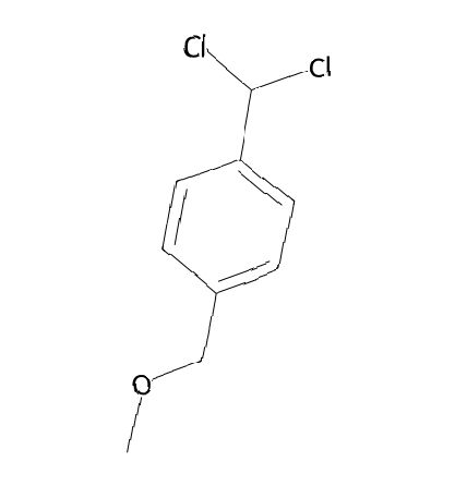 COCc1ccc(C(Cl)Cl)cc1